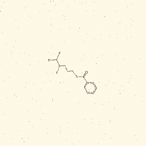 O=C(SCCCC(F)C(F)F)c1ccccc1